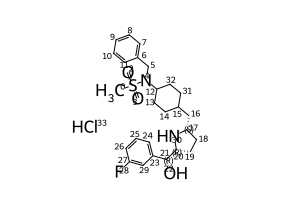 CS(=O)(=O)N(Cc1ccccc1)C1CCC(C[C@@H]2CC[C@H]([C@H](O)c3cccc(F)c3)N2)CC1.Cl